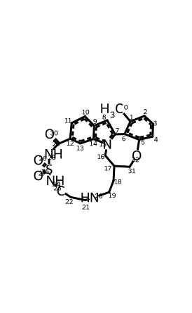 Cc1cccc2c1-c1cc3ccc4cc3n1CC(CCNCCCNS(=O)(=O)NC4=O)CO2